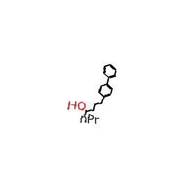 CCCC(O)CCCc1ccc(-c2ccccc2)cc1